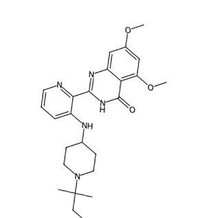 COc1cc(OC)c2c(=O)[nH]c(-c3ncccc3NC3CCN(C(C)(C)CO)CC3)nc2c1